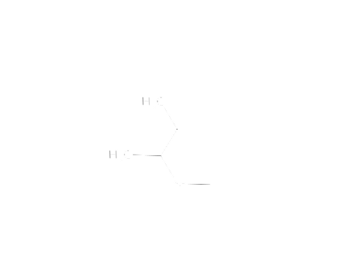 [C]SC(C)CC